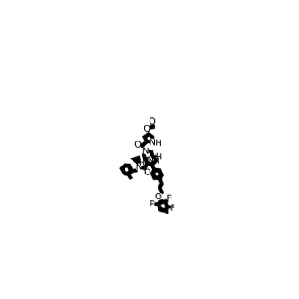 Cc1ccccc1CN(C(=O)C1=C(c2ccc(CCCOc3c(F)ccc(F)c3F)cc2)C[C@H]2CN(C(=O)C3C[C@@H](OC=O)CN3)C[C@H]1N2)C1CC1